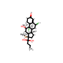 CCCC(O)(O)C1(SC)CC[C@H]2[C@@H]3CC(F)C4=CC(=O)CC[C@]4(C)[C@@]3(F)C(O)C[C@@]21C